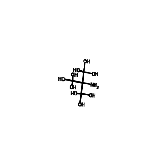 NC(C(O)(O)O)(C(O)(O)O)C(O)(O)O